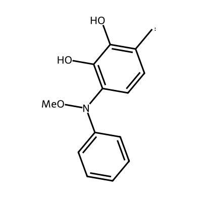 [CH]c1ccc(N(OC)c2ccccc2)c(O)c1O